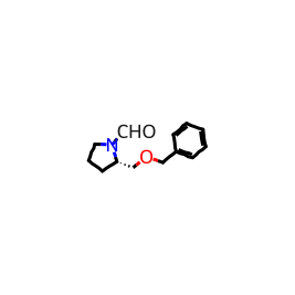 O=CN1CCC[C@H]1COCc1ccccc1